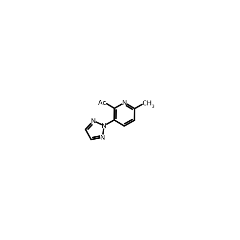 CC(=O)c1nc(C)ccc1-n1nccn1